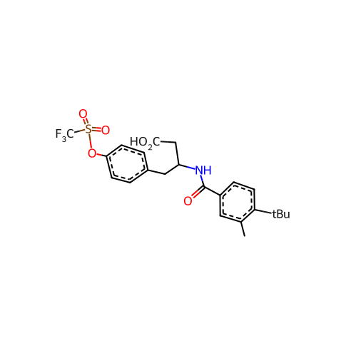 Cc1cc(C(=O)NC(CC(=O)O)Cc2ccc(OS(=O)(=O)C(F)(F)F)cc2)ccc1C(C)(C)C